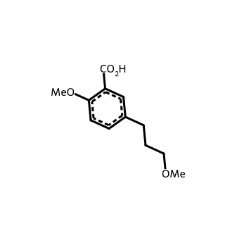 COCCCc1ccc(OC)c(C(=O)O)c1